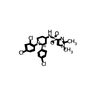 Cc1nc(S(=O)(=O)NC2CCN(c3ccc(Cl)cc3Cl)[C@H](c3ccc(Cl)cc3)C2)cn1C